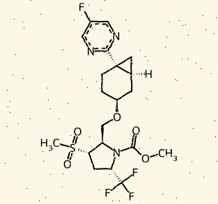 COC(=O)N1[C@H](CO[C@H]2CC[C@@]3(c4ncc(F)cn4)C[C@H]3C2)[C@@H](S(C)(=O)=O)C[C@H]1C(F)(F)F